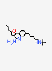 CCCc1cc2c(N)nc3cc(CCCCCNC(C)(C)C)ccc3c2o1